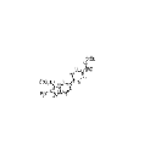 CCOC(=O)c1c(C(F)(F)F)nn2ccc(C3CCN(C(=O)OC(C)(C)C)CC3)cc12